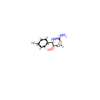 C[C@@H](O)[C@@H](NC(N)=O)c1ccc(F)cc1